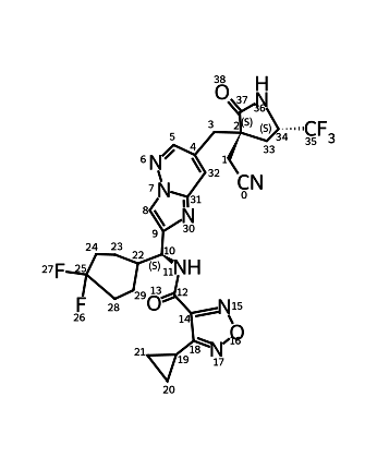 N#CC[C@]1(Cc2cnn3cc([C@@H](NC(=O)c4nonc4C4CC4)C4CCC(F)(F)CC4)nc3c2)C[C@@H](C(F)(F)F)NC1=O